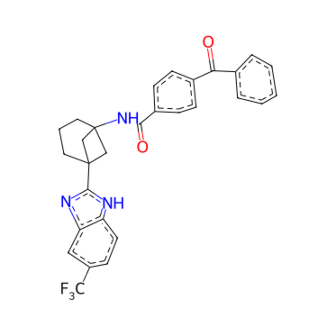 O=C(NC12CCCC(c3nc4cc(C(F)(F)F)ccc4[nH]3)(C1)C2)c1ccc(C(=O)c2ccccc2)cc1